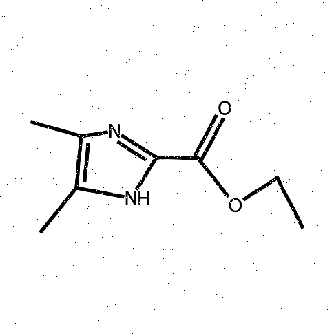 CCOC(=O)c1nc(C)c(C)[nH]1